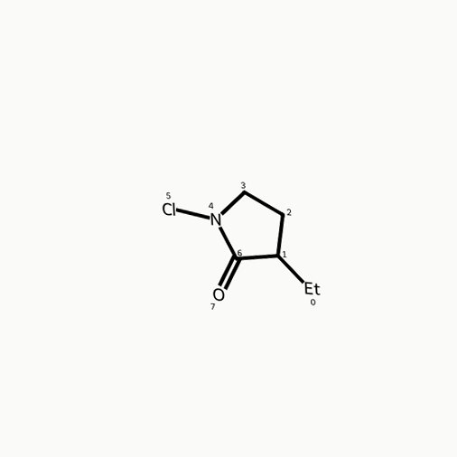 CCC1CCN(Cl)C1=O